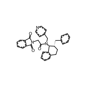 O=C1c2ccccc2C(=O)N1CC(=O)N(Cc1ccncc1)[C@@H]1c2ccccc2CC[C@H]1Cc1ccccc1